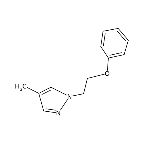 Cc1cnn(CCOc2ccccc2)c1